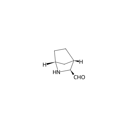 O=C[C@H]1N[C@@H]2CC[C@H]1C2